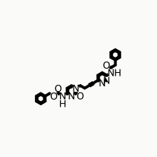 O=C(Cc1ccccc1)Nc1ccc(C#CCCn2ccc(NC(=O)OCc3ccccc3)nc2=O)nn1